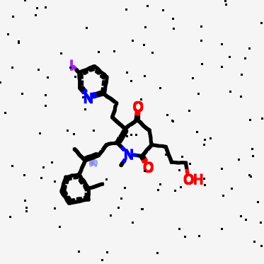 C/C(=C\CC1=C(CCc2ccc(I)cn2)C(=O)CC(CCCO)C(=O)N1C)c1ccccc1C